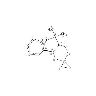 CC(C)(C)N1CCC2(CC2)C[C@H]1c1ccccc1